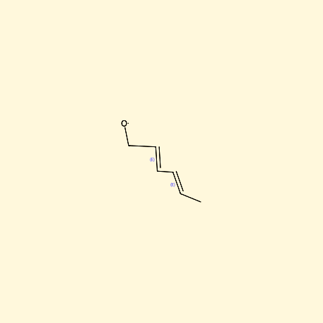 C/C=C/C=C/C[O]